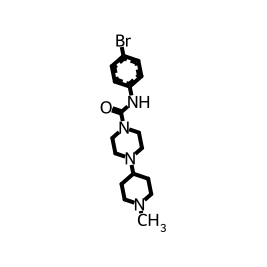 CN1CCC(N2CCN(C(=O)Nc3ccc(Br)cc3)CC2)CC1